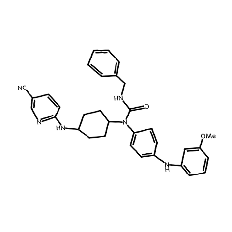 COc1cccc(Nc2ccc(N(C(=O)NCc3ccccc3)C3CCC(Nc4ccc(C#N)cn4)CC3)cc2)c1